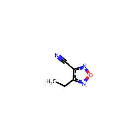 CCc1nonc1C#N